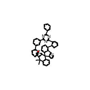 CC1(C)c2ccccc2C2(c3ccccc3-c3c(-c4ccccc4-c4nc(-c5ccccc5)nc(-c5cccc(-c6ccccn6)c5)n4)cccc32)c2ccccc21